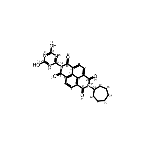 O=C1c2ccc3c4c(ccc(c24)C(=O)N1c1nc(O)nc(O)n1)C(=O)N(C1CCCCCC1)C3=O